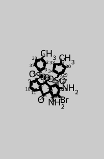 Cc1ccc(S(=O)(=O)c2cccc3c2C(=O)c2c(c(N)c(Br)c(N)c2S(=O)(=O)c2ccc(C)cc2)C3=O)cc1